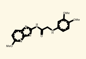 COc1ccc2nc(NC(=O)CNc3ccc(OC)c(OC)c3)sc2n1